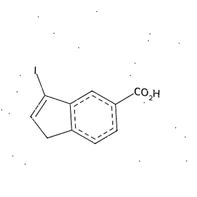 O=C(O)c1ccc2c(c1)C(I)=CC2